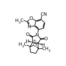 Cc1nc2c(N3C(=O)[C@@H]4[C@H](C3=O)C3(C)CCC4(C)O3)ccc(C#N)c2o1